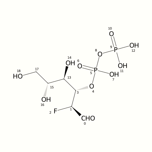 O=C[C@@H](F)[C@@H](OP(=O)(O)OP(=O)(O)O)[C@H](O)[C@H](O)CO